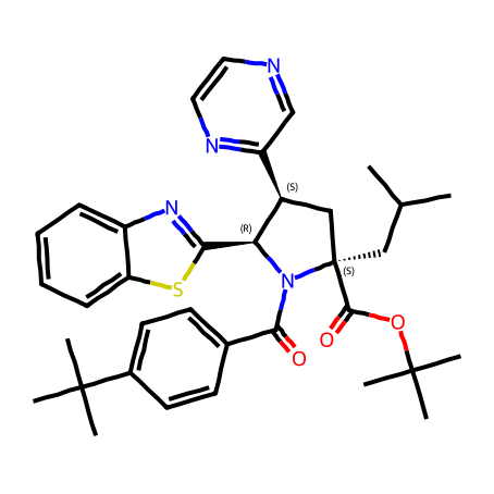 CC(C)C[C@@]1(C(=O)OC(C)(C)C)C[C@H](c2cnccn2)[C@H](c2nc3ccccc3s2)N1C(=O)c1ccc(C(C)(C)C)cc1